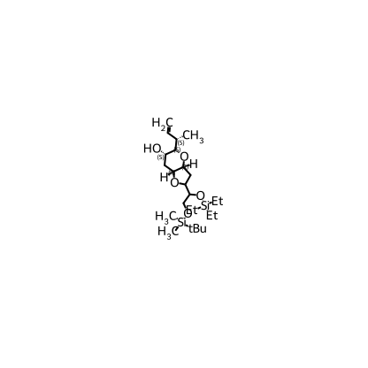 C=C[C@H](C)[C@@H]1O[C@@H]2CC(C(CO[Si](C)(C)C(C)(C)C)O[Si](CC)(CC)CC)O[C@@H]2C[C@@H]1O